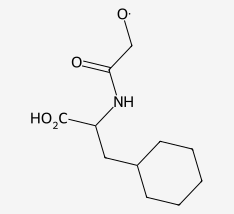 [O]CC(=O)NC(CC1CCCCC1)C(=O)O